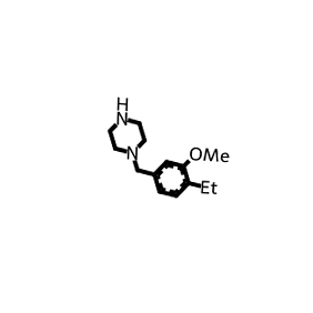 CCc1ccc(CN2CCNCC2)cc1OC